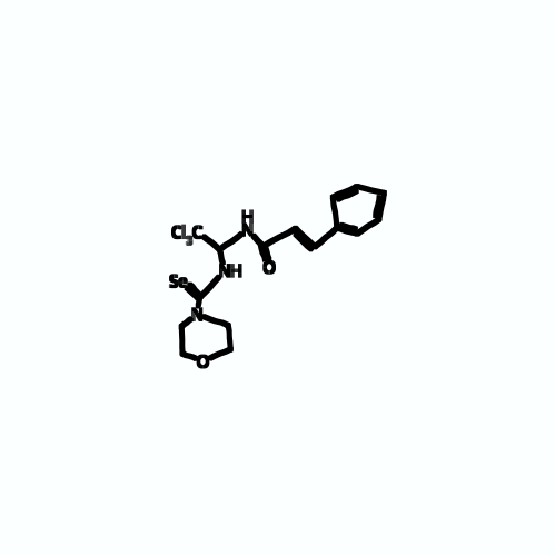 O=C(C=Cc1ccccc1)NC(NC(=[Se])N1CCOCC1)C(Cl)(Cl)Cl